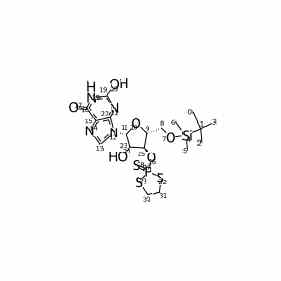 CC(C)(C)[Si](C)(C)OC[C@H]1O[C@@H](n2cnc3c(=O)[nH]c(O)nc32)[C@H](O)[C@@H]1OP1(=S)SCCS1